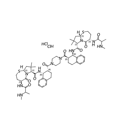 CNC(C)C(=O)N[C@H]1CCS[C@H]2CC(C)(C)[C@@H](C(=O)N[C@H]3c4ccccc4CC[C@H]3C(=O)N3CCN(C(=O)[C@@H]4CCc5ccccc5[C@@H]4NC(=O)[C@H]4N5C(=O)[C@@H](NC(=O)C(C)NC)CCS[C@H]5CC4(C)C)CC3)N2C1=O.Cl.Cl